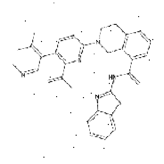 C=C(Nc1nc2ccccc2s1)c1cccc2c1CN(c1ccc(C(/C=N\C)=C(C)C)c(C(=C)C)n1)CC2